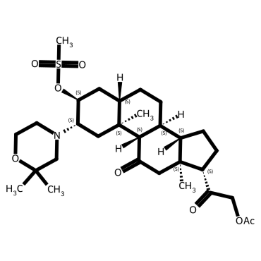 CC(=O)OCC(=O)[C@H]1CC[C@H]2[C@@H]3CC[C@H]4C[C@H](OS(C)(=O)=O)[C@@H](N5CCOC(C)(C)C5)C[C@]4(C)[C@H]3C(=O)C[C@]12C